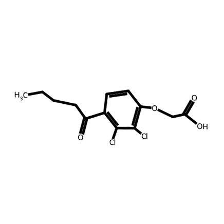 CCCCC(=O)c1ccc(OCC(=O)O)c(Cl)c1Cl